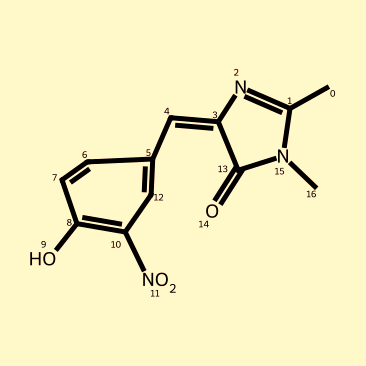 CC1=NC(=Cc2ccc(O)c([N+](=O)[O-])c2)C(=O)N1C